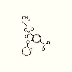 CCCOS(=O)(=O)c1ccc([N+](=O)[O-])cc1OC1CCCCO1